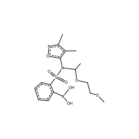 COCCOC(C)N(c1onc(C)c1C)S(=O)(=O)c1ccccc1B(O)O